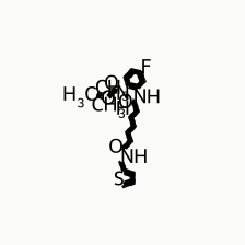 CC(C)(C)OC(=O)Nc1ccc(F)cc1NC(=O)CCCCCC(=O)NCc1cccs1